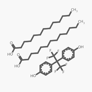 CCCCCCCCCCCCC(=O)O.CCCCCCCCCCCCC(=O)O.Oc1ccc(C(c2ccc(O)cc2)(C(F)(F)F)C(F)(F)F)cc1